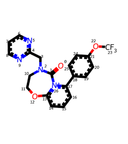 O=C1N(Cc2ncccn2)CCOc2cccc(-c3ccc(OC(F)(F)F)cc3)[n+]21